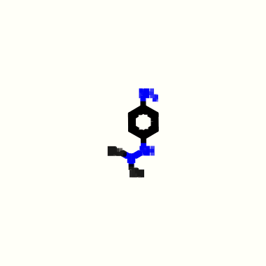 CCC(C)N(Nc1ccc(N)cc1)C(C)CC